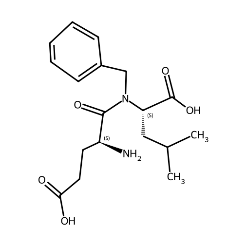 CC(C)C[C@@H](C(=O)O)N(Cc1ccccc1)C(=O)[C@@H](N)CCC(=O)O